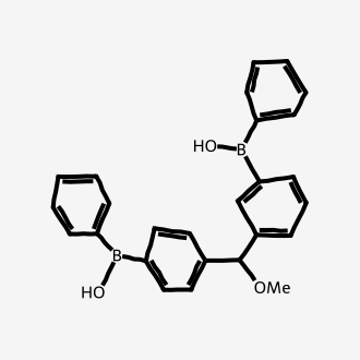 COC(c1ccc(B(O)c2ccccc2)cc1)c1cccc(B(O)c2ccccc2)c1